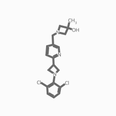 CC1(O)CN(Cc2ccc(C3CN(c4c(Cl)cccc4Cl)C3)nc2)C1